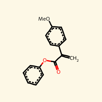 C=C(C(=O)Oc1ccccc1)c1ccc(OC)cc1